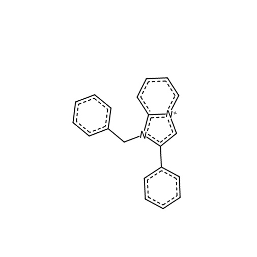 c1ccc(Cn2c(-c3ccccc3)c[n+]3ccccc23)cc1